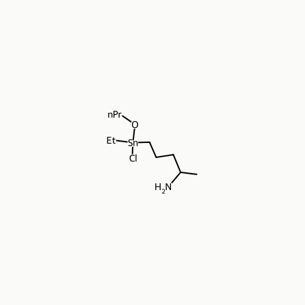 CCC[O][Sn]([Cl])([CH2]C)[CH2]CCC(C)N